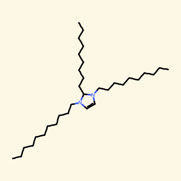 CCCCCCCCCCCN1C=CN(CCCCCCCCCC)C1CCCCCCCCC